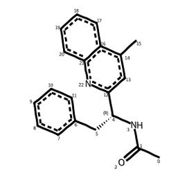 CC(=O)N[C@H](Cc1ccccc1)c1cc(C)c2ccccc2n1